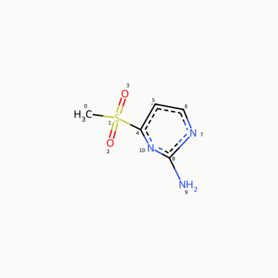 CS(=O)(=O)c1[c]cnc(N)n1